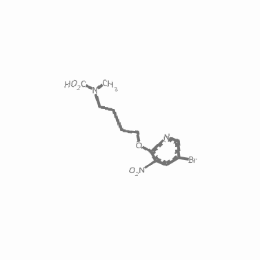 CN(CCCCOc1ncc(Br)cc1[N+](=O)[O-])C(=O)O